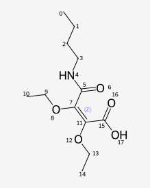 CCCCNC(=O)/C(OCC)=C(/OCC)C(=O)O